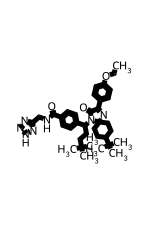 CCOc1ccc(C2=NC3(CCC(C(C)(C)C)CC3)N(C(CCC(C)(C)C)c3ccc(C(=O)NCc4nn[nH]n4)cc3)C2=O)cc1